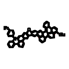 CC(C)c1ccc(N(c2ccc3cc4c(cc3c2)oc2cc3cc(N(c5ccccc5-c5ccccc5)c5ccccc5-c5ccc(C(C)(C)C)cc5)ccc3cc24)c2ccccc2-c2ccccc2)cc1